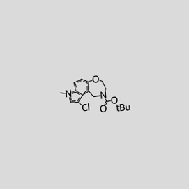 Cn1cc(Cl)c2c3c(ccc21)OCCN(C(=O)OC(C)(C)C)C3